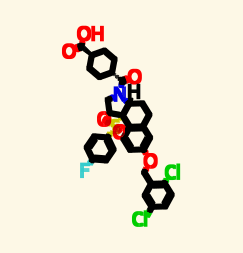 O=C(O)[C@H]1CC[C@H](C(=O)N2CC[C@@]3(S(=O)(=O)c4ccc(F)cc4)c4ccc(OCc5cc(Cl)ccc5Cl)cc4CC[C@@H]23)CC1